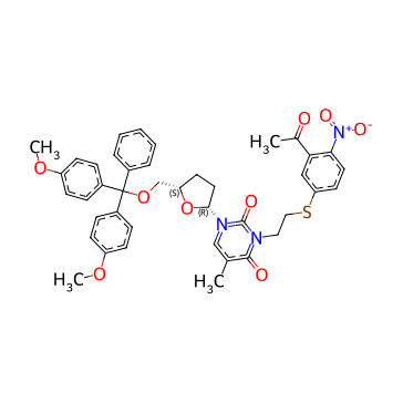 COc1ccc(C(OC[C@@H]2CC[C@H](n3cc(C)c(=O)n(CCSc4ccc([N+](=O)[O-])c(C(C)=O)c4)c3=O)O2)(c2ccccc2)c2ccc(OC)cc2)cc1